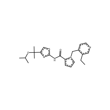 CCc1cnccc1Cn1cccc1C(=O)Nc1nc(C(C)(C)OC(C)C)cs1